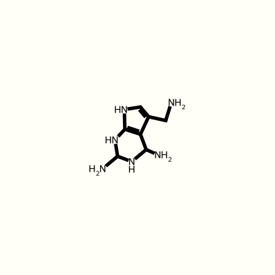 NCc1c[nH]c2c1C(N)NC(N)N2